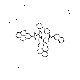 c1ccc2cc(-n3c4ccccc4c4c3ccc3c5ccccc5n(-c5nc(-c6cc7ccc8cccc9ccc(c6)c7c89)cc(-c6cc7ccc8cccc9ccc(c6)c7c89)n5)c34)ccc2c1